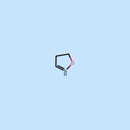 C1=[SiH]OCC1